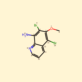 COc1c(Br)c(N)c2ncccc2c1Br